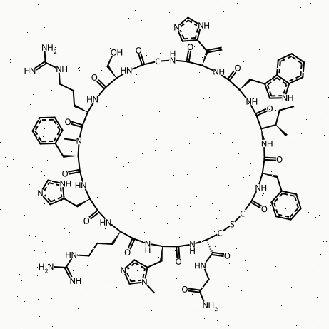 C=C(c1cnc[nH]1)[C@H]1NC(=O)[C@@H](Cc2c[nH]c3ccccc23)NC(=O)[C@@H]([C@H](C)CC)NC(=O)[C@@H](Cc2ccccc2)NC(=O)CSC[C@H](C(=O)NCC(N)=O)NC(=O)[C@@H](Cc2cncn2C)NC(=O)[C@@H](CCCNC(=N)N)NC(=O)[C@@H](Cc2cnc[nH]2)NC(=O)[C@@H](Cc2ccccc2)N(C)C(=O)[C@@H](CCCNC(=N)N)NC(=O)[C@@H](CO)NC(=O)CNC1=O